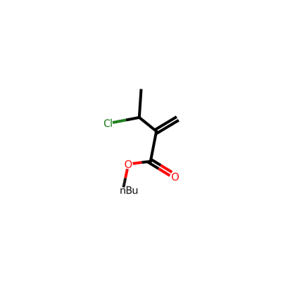 C=C(C(=O)OCCCC)C(C)Cl